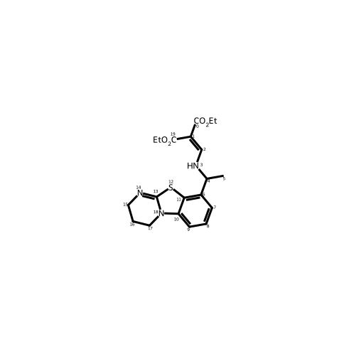 CCOC(=O)C(=CNC(C)c1cccc2c1SC1=NCCCN12)C(=O)OCC